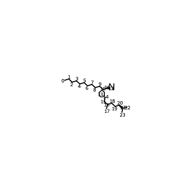 CCCCCCCCCCC(C#N)OCCC(C)CCC=C(C)C